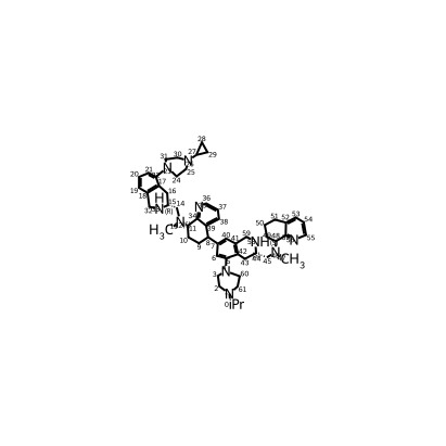 CC(C)N1CCN(c2cc(C3CC[C@H](N(C)C[C@H]4Cc5c(cccc5N5CCN(C6CC6)CC5)CN4)c4ncccc43)cc3c2C[C@@H](CN(C)[C@H]2CCCc4cccnc42)NC3)CC1